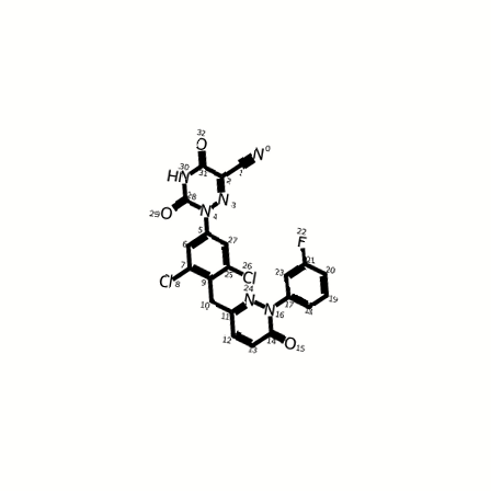 N#Cc1nn(-c2cc(Cl)c(Cc3ccc(=O)n(-c4cccc(F)c4)n3)c(Cl)c2)c(=O)[nH]c1=O